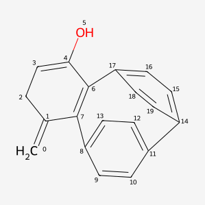 C=C1CC=C(O)c2c1c1ccc(cc1)c1ccc2cc1